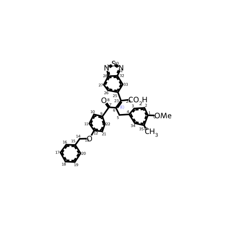 COc1ccc(C/C(C(=O)c2ccc(OCc3ccccc3)cc2)=C(\C(=O)O)c2ccc3nsnc3c2)cc1C